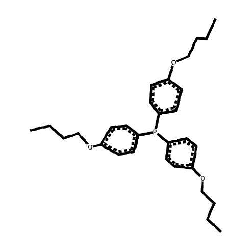 CCCCOc1ccc(P(c2ccc(OCCCC)cc2)c2ccc(OCCCC)cc2)cc1